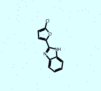 Clc1ccc(-c2nc3ccccc3[nH]2)o1